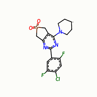 O=S1(=O)Cc2nc(-c3cc(F)c(Cl)cc3F)nc(N3CC[CH]CC3)c2C1